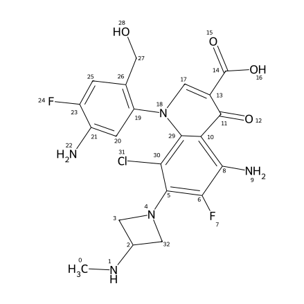 CNC1CN(c2c(F)c(N)c3c(=O)c(C(=O)O)cn(-c4cc(N)c(F)cc4CO)c3c2Cl)C1